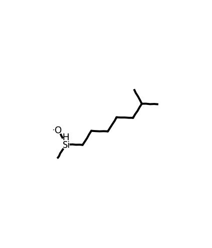 CC(C)CCCCC[SiH](C)[O]